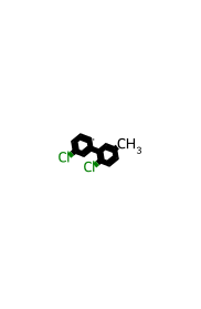 Cc1ccc(Cl)c(-c2[c]ccc(Cl)c2)c1